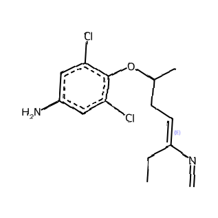 C=N/C(=C/CC(C)Oc1c(Cl)cc(N)cc1Cl)CC